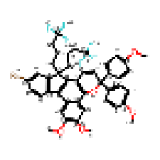 COc1ccc(C2(c3ccc(OC)cc3)C=Cc3c4c(c5cc(OC)c(OC)cc5c3O2)-c2ccc(Br)cc2C4(CCCC(F)(F)F)CCCC(F)(F)F)cc1